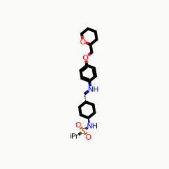 CC(C)S(=O)(=O)N[C@H]1CC[C@H](CNc2ccc(OCC3CCCCO3)cc2)CC1